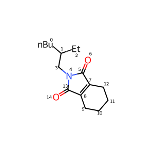 CCCCC(CC)CN1C(=O)C2=C(CCCC2)C1=O